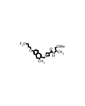 COC[C@H](C)NC(=O)C1CN(CC2=Cc3ccc(OCCCC(F)(F)F)cc3C[C@@H]2C)C1